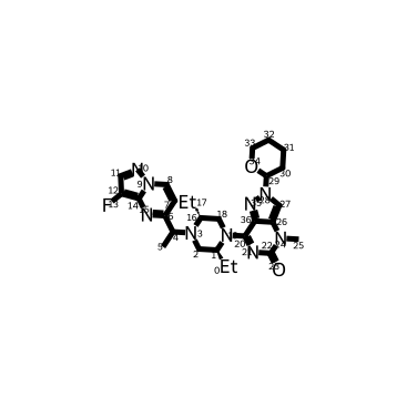 CC[C@H]1CN(C(C)c2ccn3ncc(F)c3n2)[C@H](CC)CN1c1nc(=O)n(C)c2cn(C3CCCCO3)nc12